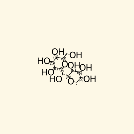 OC[C@H]1O[C@@H](C(O)[C@H]2O[CH][C@H](O)[C@@H](O)[C@@H]2O)[C@H](O)[C@@H](O)[C@@H]1O